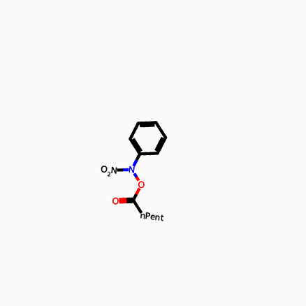 CCCCCC(=O)ON(c1ccccc1)[N+](=O)[O-]